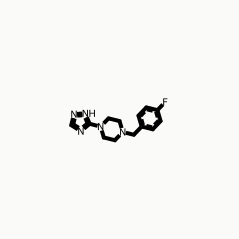 Fc1ccc(CN2CCN(c3ncn[nH]3)CC2)cc1